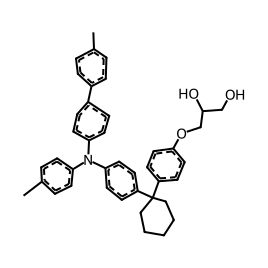 Cc1ccc(-c2ccc(N(c3ccc(C)cc3)c3ccc(C4(c5ccc(OCC(O)CO)cc5)CCCCC4)cc3)cc2)cc1